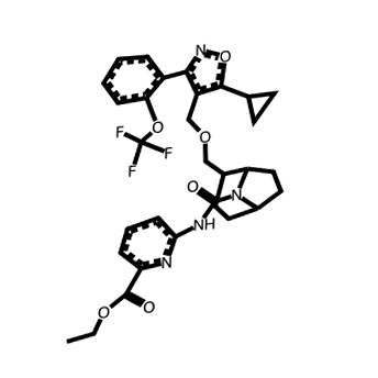 CCOC(=O)c1cccc(NC(=O)N2C3CCC(COCc4c(-c5ccccc5OC(F)(F)F)noc4C4CC4)C2CC3)n1